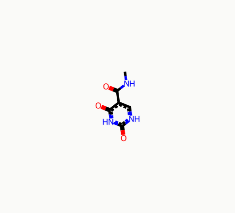 CNC(=O)c1c[nH]c(=O)[nH]c1=O